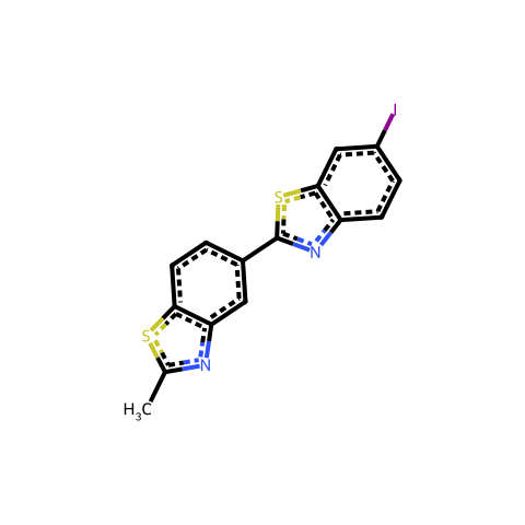 Cc1nc2cc(-c3nc4ccc(I)cc4s3)ccc2s1